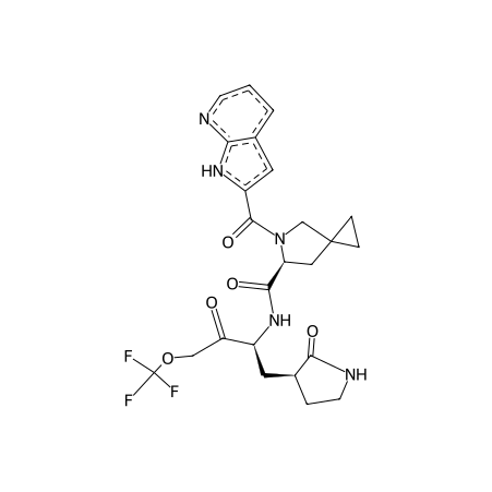 O=C1NCC[C@H]1C[C@H](NC(=O)[C@@H]1CC2(CC2)CN1C(=O)c1cc2cccnc2[nH]1)C(=O)COC(F)(F)F